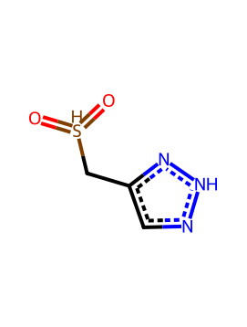 O=[SH](=O)Cc1cn[nH]n1